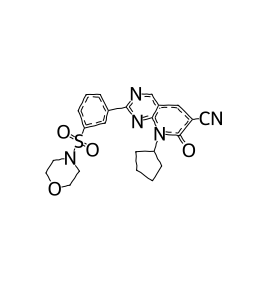 N#Cc1cc2cnc(-c3cccc(S(=O)(=O)N4CCOCC4)c3)nc2n(C2CCCC2)c1=O